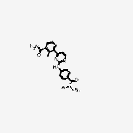 CCCCN(CC)C(=O)c1ccc(Nc2nccc(-c3cccc(C(N)=O)c3C)n2)cc1